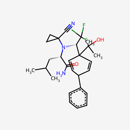 CC(C)C[C@@H](C(N)=O)N([C@H](C(F)(F)F)C1(C(C)(C)O)C=CC(c2ccccc2)C=C1)C1(C#N)CC1